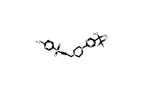 CC(O)(c1cnc(N2CCN(CC#CS(=O)(=O)c3ccc(N)nc3)CC2)nc1)C(F)(F)F